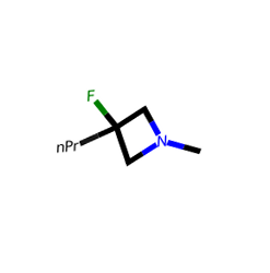 CCCC1(F)CN(C)C1